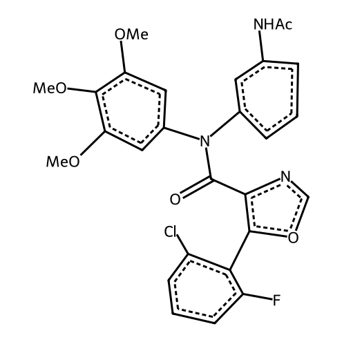 COc1cc(N(C(=O)c2ncoc2-c2c(F)cccc2Cl)c2cccc(NC(C)=O)c2)cc(OC)c1OC